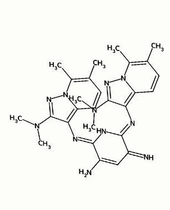 Cc1ccc2c(/N=C3\N/C(=N\c4c(N(C)C)nn5c(C)c(C)ccc45)C(N)=CC3=N)c(N(C)C)nn2c1C